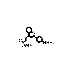 COC(=O)/C=C/c1cc(-c2ccc(NC(C)=O)cc2)nc2ccccc12